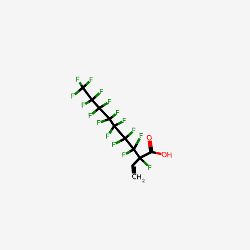 C=CC(F)(C(=O)O)C(F)(F)C(F)(F)C(F)(F)C(F)(F)C(F)(F)C(F)(F)C(F)(F)F